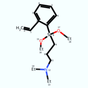 C=Cc1ccccc1[Si](CCCN(CC)CC)(OCC)OCC